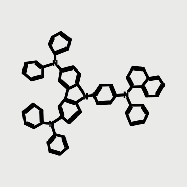 c1ccc(N(c2ccccc2)c2ccc3c(c2)c2cc(N(c4ccccc4)c4ccccc4)ccc2n3-c2ccc(N(c3ccccc3)c3cccc4ccccc34)cc2)cc1